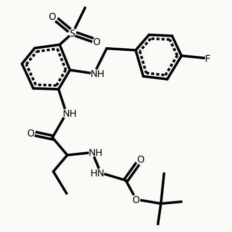 CCC(NNC(=O)OC(C)(C)C)C(=O)Nc1cccc(S(C)(=O)=O)c1NCc1ccc(F)cc1